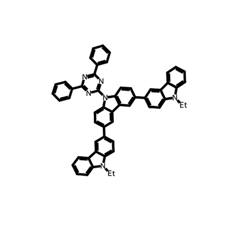 CCn1c2ccccc2c2cc(-c3ccc4c(c3)c3cc(-c5ccc6c(c5)c5ccccc5n6CC)ccc3n4-c3nc(-c4ccccc4)nc(-c4ccccc4)n3)ccc21